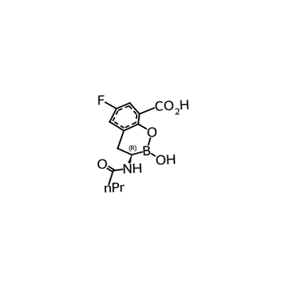 CCCC(=O)N[C@H]1Cc2cc(F)cc(C(=O)O)c2OB1O